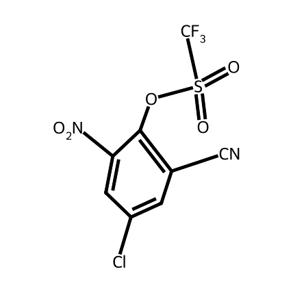 N#Cc1cc(Cl)cc([N+](=O)[O-])c1OS(=O)(=O)C(F)(F)F